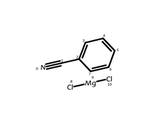 N#Cc1ccccc1.[Cl][Mg][Cl]